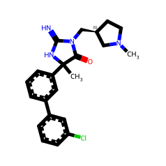 CN1CC[C@H](CN2C(=N)NC(C)(c3cccc(-c4cccc(Cl)c4)c3)C2=O)C1